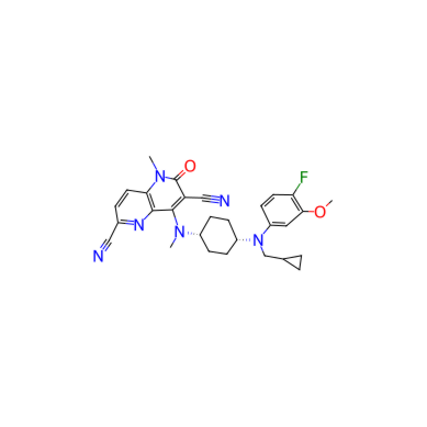 COc1cc(N(CC2CC2)[C@H]2CC[C@@H](N(C)c3c(C#N)c(=O)n(C)c4ccc(C#N)nc34)CC2)ccc1F